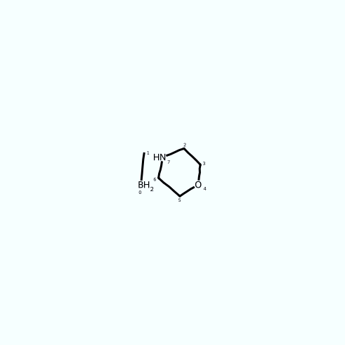 BC.C1COCCN1